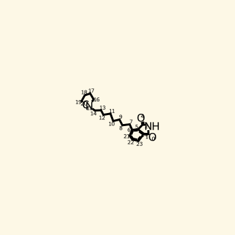 O=C1NC(=O)c2c(CCCCCCCCN3CCCCC3)cccc21